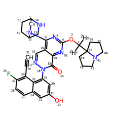 [2H]C([2H])(Oc1nc(N2CC3CCC2CN3)c2cnn(-c3cc(O)cc4ccc(F)c(C#C)c34)c(=O)c2n1)C12CCCN1CCC2